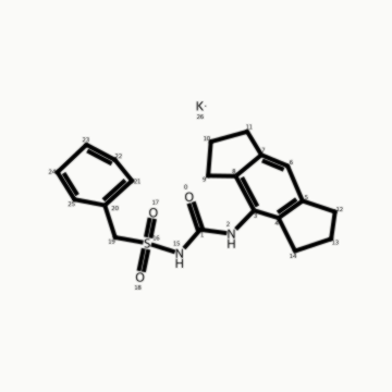 O=C(Nc1c2c(cc3c1CCC3)CCC2)NS(=O)(=O)Cc1ccccc1.[K]